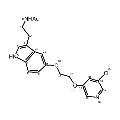 CC(=O)NCCc1c[nH]c2ccc(OCCOc3cncc(Cl)c3)cc12